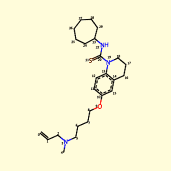 C=CCN(C)CCCCOc1ccc2c(c1)CCCN2C(=S)NC1CCCCCC1